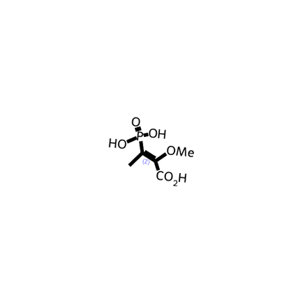 CO/C(C(=O)O)=C(/C)P(=O)(O)O